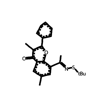 C/C(=N\SC(C)(C)C)c1cc(C)cc2c(=O)c(C)c(-c3ccccc3)oc12